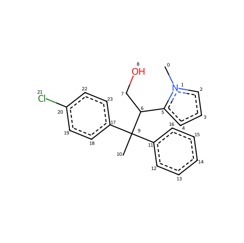 Cn1cccc1C(CO)C(C)(c1ccccc1)c1ccc(Cl)cc1